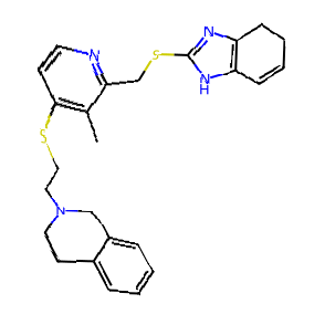 Cc1c(SCCN2CCc3ccccc3C2)ccnc1CSc1nc2c([nH]1)C=CCC2